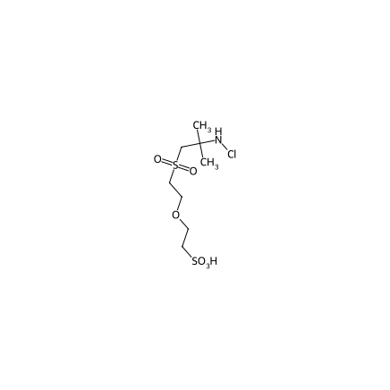 CC(C)(CS(=O)(=O)CCOCCS(=O)(=O)O)NCl